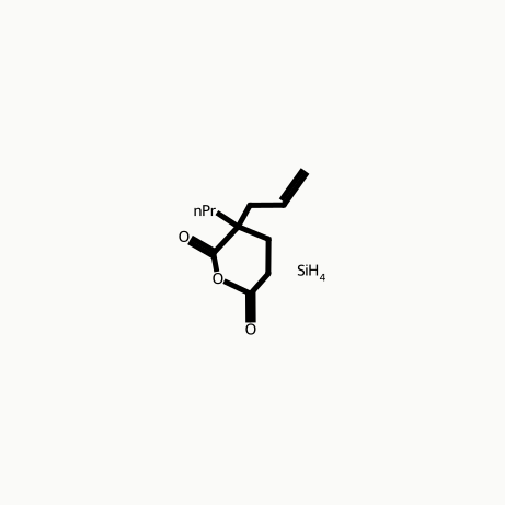 C=CCC1(CCC)CCC(=O)OC1=O.[SiH4]